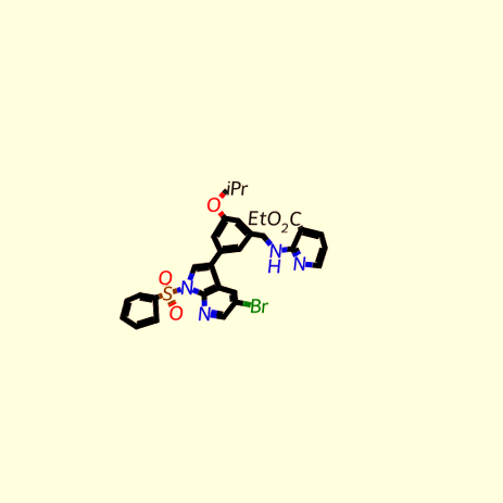 CCOC(=O)c1cccnc1NCc1cc(OC(C)C)cc(-c2cn(S(=O)(=O)c3ccccc3)c3ncc(Br)cc23)c1